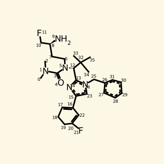 CN(C)C(=O)N(CC[C@H](N)CF)[C@@H](c1nc(C2=CCCC(F)=C2)cn1Cc1ccccc1)C(C)(C)C